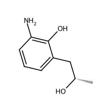 C[C@H](O)Cc1cccc(N)c1O